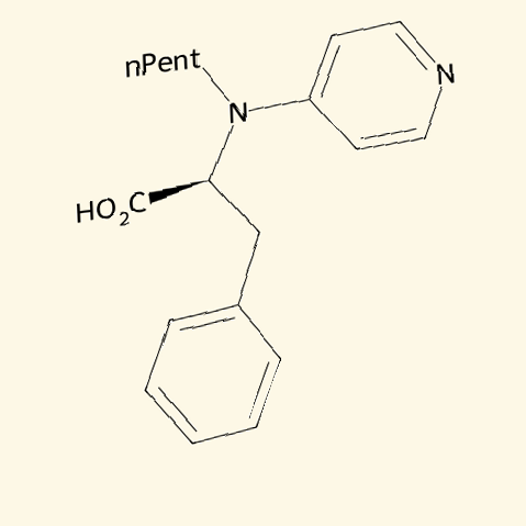 CCCCCN(c1ccncc1)[C@@H](Cc1ccccc1)C(=O)O